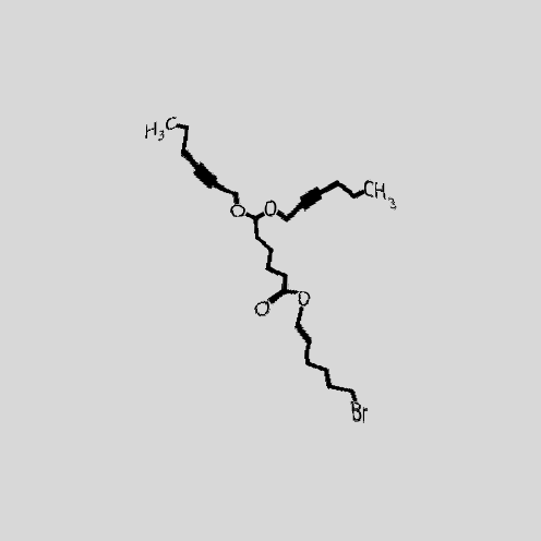 CCCC#CCOC(CCCCC(=O)OCCCCCCBr)OCC#CCCC